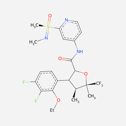 CCOc1c(C2C(C(=O)Nc3ccnc([S@@](C)(=O)=NC)c3)O[C@@](C)(C(F)(F)F)[C@H]2C)ccc(F)c1F